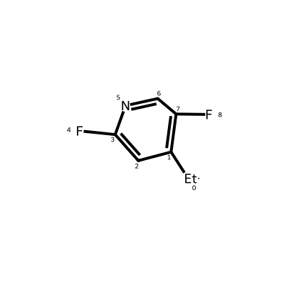 C[CH]c1cc(F)ncc1F